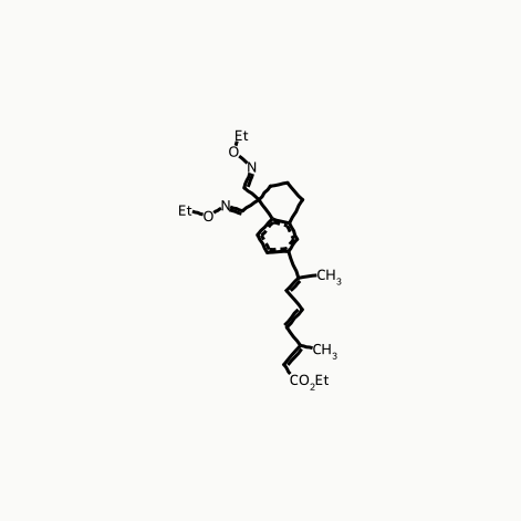 CCON=CC1(C=NOCC)CCCc2cc(/C(C)=C/C=C/C(C)=C/C(=O)OCC)ccc21